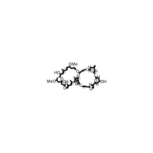 C=CC[C@H](/C=C/C(C)=C/[C@@H](O)[C@H]1C[C@@H](OC)C[C@@](O)(Cc2nc(/C=C(\C)[C@@H]3O[C@@H]4C/C=C/c5nc(co5)[C@H]5C[C@H](O)C[C@@H](C[C@H]6CC(=C)C[C@H](C/C=C\C(=O)O[C@@H]([C@H]4C)[C@H]3C)O6)O5)co2)O1)OC